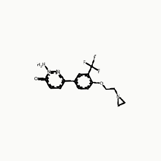 Nn1nc(-c2ccc(OCCN3CC3)c(C(F)(F)F)c2)ccc1=O